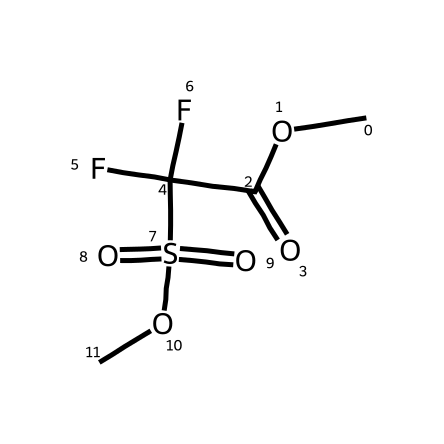 COC(=O)C(F)(F)S(=O)(=O)OC